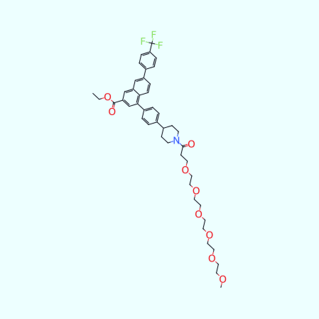 CCOC(=O)c1cc(-c2ccc(C3CCN(C(=O)CCOCCOCCOCCOCCOCCOC)CC3)cc2)c2ccc(-c3ccc(C(F)(F)F)cc3)cc2c1